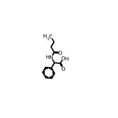 CCCC(=O)NC(C(=O)O)c1ccccc1